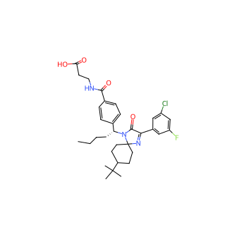 CCCC[C@H](c1ccc(C(=O)NCCC(=O)O)cc1)N1C(=O)C(c2cc(F)cc(Cl)c2)=NC12CCC(C(C)(C)C)CC2